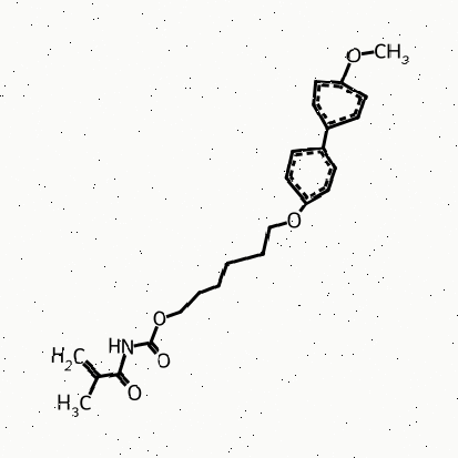 C=C(C)C(=O)NC(=O)OCCCCCCOc1ccc(-c2ccc(OC)cc2)cc1